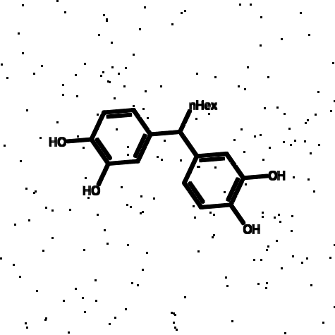 CCCCCCC(c1ccc(O)c(O)c1)c1ccc(O)c(O)c1